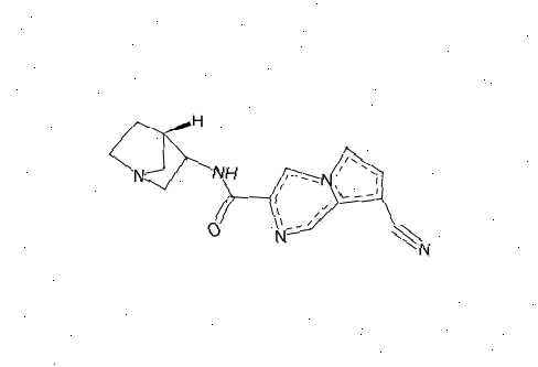 N#Cc1ccn2cc(C(=O)NC3CN4CC[C@H]3C4)ncc12